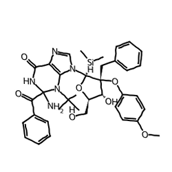 COc1ccc(O[C@]2(Cc3ccccc3)[C@H](O)[C@@H](CO)O[C@]2(n2cnc3c2N(C(C)(C)C)C(N)(C(=O)c2ccccc2)NC3=O)[SiH](C)C)cc1